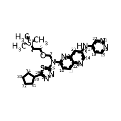 C[Si](C)(C)CCOCN(c1ccc2ncc(Nc3ccnnc3)cc2n1)c1nnc(C2CCCC2)s1